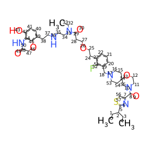 CCC(CC)c1nc(C(=O)N2CCOC3(CCN(Cc4cccc(CCOCCC(=O)N(CC)CCNCCc5ccc(O)c6c5OCC(=O)N6)c4F)CC3)C2)cs1